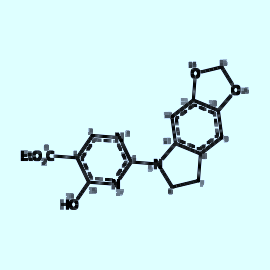 CCOC(=O)c1cnc(N2CCc3cc4c(cc32)OCO4)nc1O